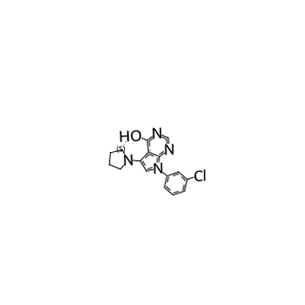 C[C@H]1CCCN1c1cn(-c2cccc(Cl)c2)c2ncnc(O)c12